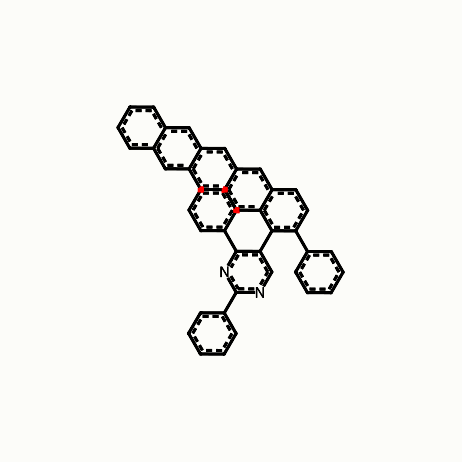 c1ccc(-c2ncc(-c3c(-c4ccccc4)ccc4cc5cc6cc7ccccc7cc6cc5cc34)c(-c3ccccc3)n2)cc1